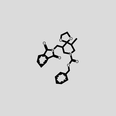 CC1CN(C(=O)OCc2ccccc2)CC(CN2C(=O)c3ccccc3C2=O)C12OCCO2